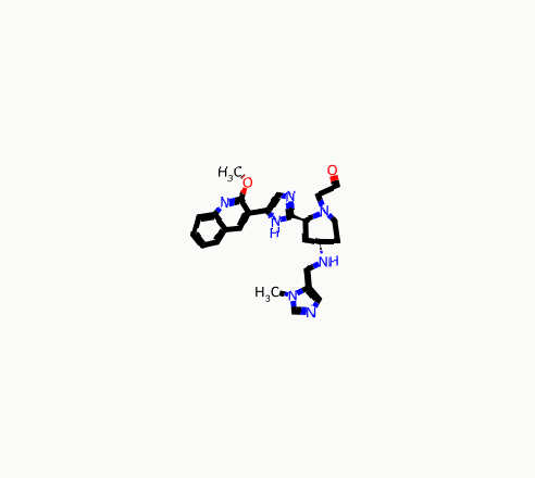 COc1nc2ccccc2cc1-c1cnc([C@@H]2C[C@@H](NCc3cncn3C)CCN2CC=O)[nH]1